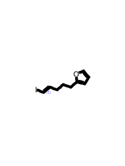 I/C=C/CCCc1ccco1